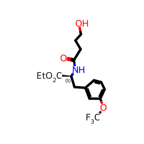 CCOC(=O)[C@H](Cc1cccc(OC(F)(F)F)c1)NC(=O)CCCO